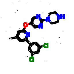 [CH2]c1cc(Oc2cnc(N3CCNCC3)nc2)nc(-c2cc(Cl)cc(Cl)c2)c1